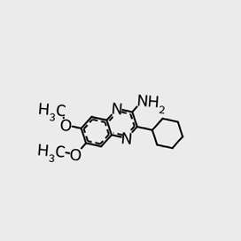 COc1cc2nc(N)c(C3CCCCC3)nc2cc1OC